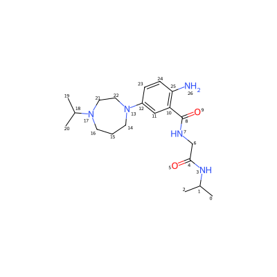 CC(C)NC(=O)CNC(=O)c1cc(N2CCCN(C(C)C)CC2)ccc1N